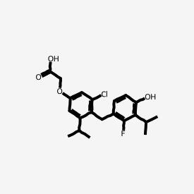 CC(C)c1cc(OCC(=O)O)cc(Cl)c1Cc1ccc(O)c(C(C)C)c1F